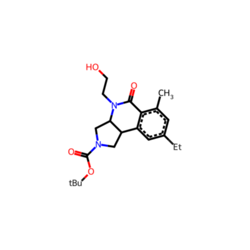 CCc1cc(C)c2c(c1)C1CN(C(=O)OC(C)(C)C)CC1N(CCO)C2=O